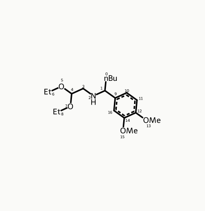 CCCCC(NCC(OCC)OCC)c1ccc(OC)c(OC)c1